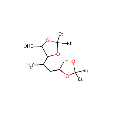 CCC1(CC)OCC(CC(C)C2OC(CC)(CC)OC2C=O)O1